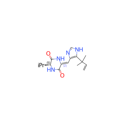 C=CC(C)(C)c1[nH]cnc1/C=C1\NC(=O)[C@H](C(C)C)NC1=O